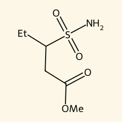 CCC(CC(=O)OC)S(N)(=O)=O